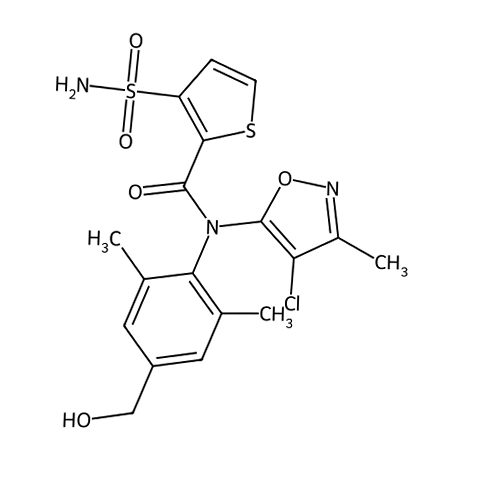 Cc1cc(CO)cc(C)c1N(C(=O)c1sccc1S(N)(=O)=O)c1onc(C)c1Cl